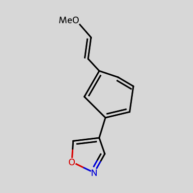 COC=Cc1cccc(-c2cnoc2)c1